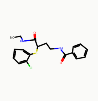 N#CCNC(=O)C(CCNC(=O)c1ccccc1)Sc1ccccc1Cl